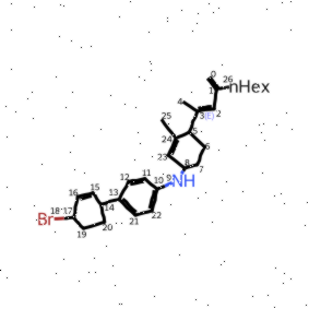 C=C(/C=C(\C)C1CCC(Nc2ccc(C3C=CC(Br)CC3)cc2)C=C1C)CCCCCC